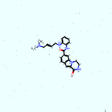 CN(C)C/C=C/CNc1ccccc1NC(=O)c1ccc2cc3n(c2c1)CCNC3=O